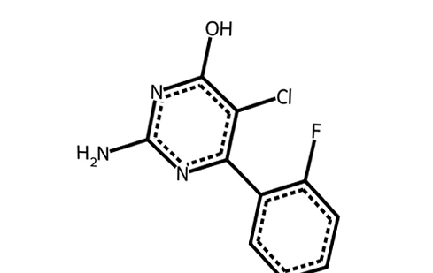 Nc1nc(O)c(Cl)c(-c2ccccc2F)n1